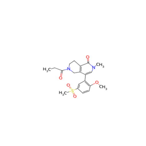 CCC(=O)N1CCc2c(c(-c3cc(S(C)(=O)=O)ccc3OC)cn(C)c2=O)C1